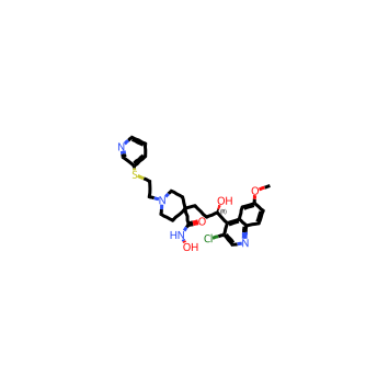 COc1ccc2ncc(Cl)c([C@H](O)CCC3(C(=O)NO)CCN(CCSc4cccnc4)CC3)c2c1